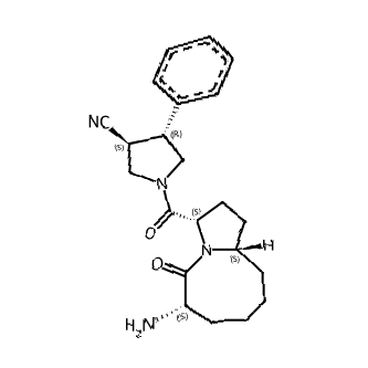 N#C[C@@H]1CN(C(=O)[C@@H]2CC[C@@H]3CCCC[C@H](N)C(=O)N32)C[C@H]1c1ccccc1